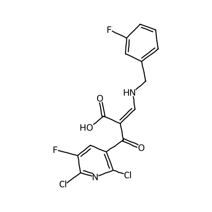 O=C(O)C(=CNCc1cccc(F)c1)C(=O)c1cc(F)c(Cl)nc1Cl